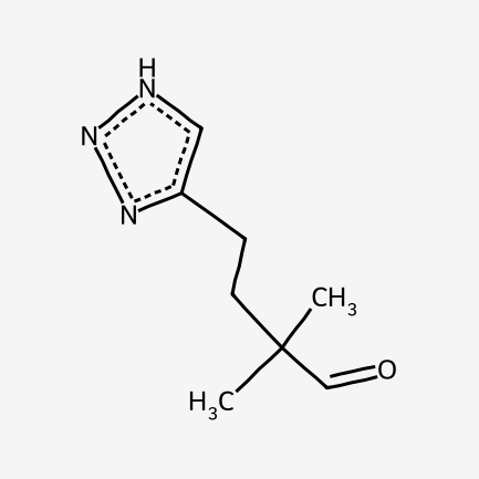 CC(C)(C=O)CCc1c[nH]nn1